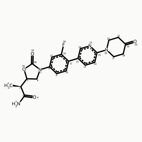 C[C@H](C(N)=O)C1CN(c2ccc(-c3ccc(N4CCC(=O)CC4)nc3)c(F)c2)C(=O)O1